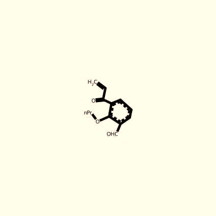 C=CC(=O)c1cccc(C=O)c1OCCC